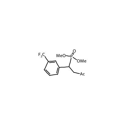 COP(=O)(OC)C(CC(C)=O)c1cccc(C(F)(F)F)c1